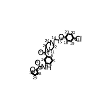 O=C(Nc1cccc(C(=O)N2CCN(CCOc3ccc(Cl)cc3)CC2)c1)c1ccco1